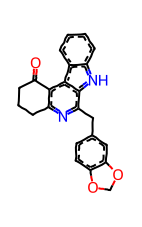 O=C1CCCc2nc(Cc3ccc4c(c3)OCO4)c3[nH]c4ccccc4c3c21